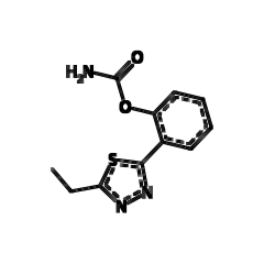 CCc1nnc(-c2ccccc2OC(N)=O)s1